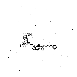 CC(C)(C)[Si](C)(C)O[C@H](CCCn1ccc2ccc(NC(=O)CCCCCc3ccccc3)cc21)n1cnc(C(N)=O)c1